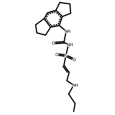 CCCNC/C=C/S(=O)(=O)NC(=O)Nc1c2c(cc3c1CCC3)CCC2